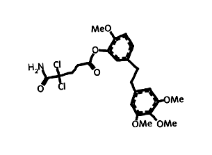 COc1ccc(CCc2cc(OC)c(OC)c(OC)c2)cc1OC(=O)CCC(Cl)(Cl)C(N)=O